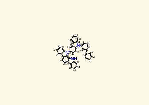 c1ccc(-c2cccc(-n3c4ccccc4c4cc(-n5c6ccccc6c6ccc7c8ccccc8[nH]c7c65)ccc43)c2)cc1